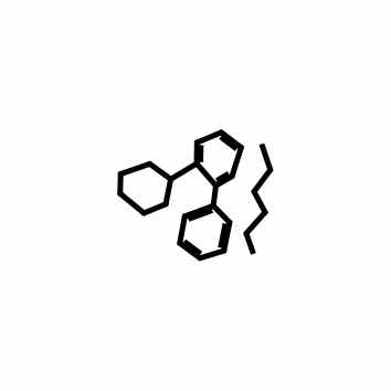 CCCCCC.c1ccc(-c2ccccc2C2CCCCC2)cc1